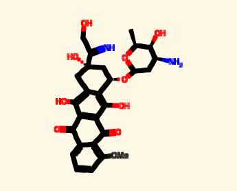 COc1cccc2c1C(=O)c1c(O)c3c(c(O)c1C2=O)C[C@@](O)(C(=N)CO)C[C@@H]3OC1C[C@H](N)[C@H](O)[C@H](C)O1